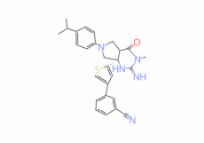 CC(C)c1ccc(N2CC3C(=O)N(C)C(=N)N[C@@]3(c3cc(-c4cccc(C#N)c4)cs3)C2)cc1